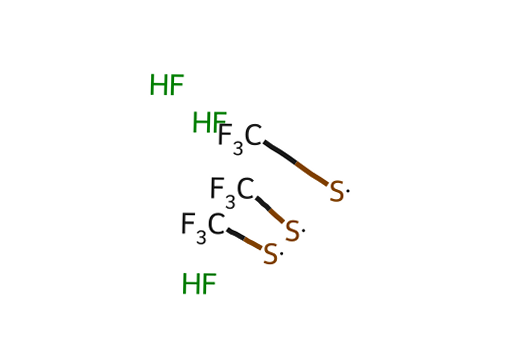 F.F.F.FC(F)(F)[S].FC(F)(F)[S].FC(F)(F)[S]